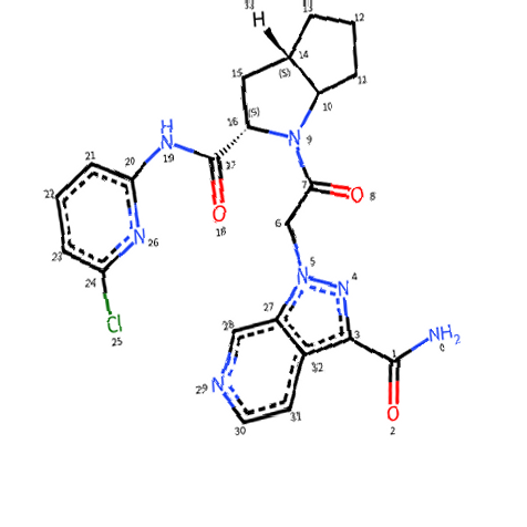 NC(=O)c1nn(CC(=O)N2C3CCC[C@H]3C[C@H]2C(=O)Nc2cccc(Cl)n2)c2cnccc12